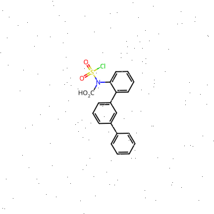 O=C(O)N(c1ccccc1-c1cccc(-c2ccccc2)c1)S(=O)(=O)Cl